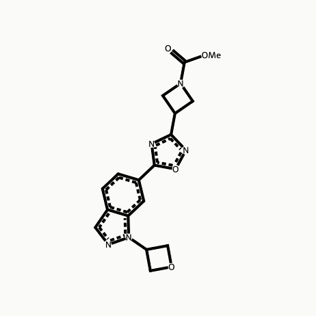 COC(=O)N1CC(c2noc(-c3ccc4cnn(C5COC5)c4c3)n2)C1